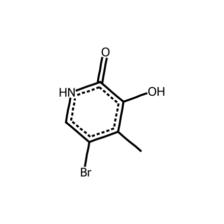 Cc1c(Br)c[nH]c(=O)c1O